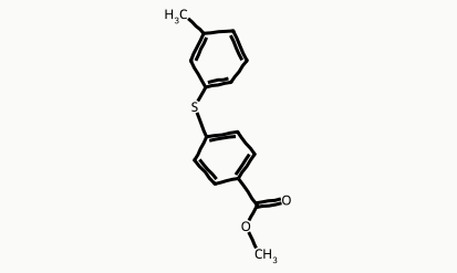 COC(=O)c1ccc(Sc2cccc(C)c2)cc1